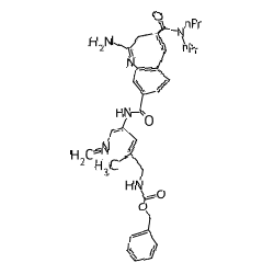 C=N/C=C(\C=C(/C)CNC(=O)OCc1ccccc1)NC(=O)c1ccc2c(c1)N=C(N)CC(C(=O)N(CCC)CCC)=C2